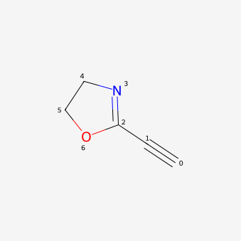 C#CC1=NCCO1